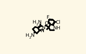 CC1(C(=O)n2nc3c(c2N)CCC(N)C3)CCNc2c(Cl)cc(F)cc21